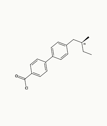 CC[C@H](C)Cc1ccc(-c2ccc(C(=O)Cl)cc2)cc1